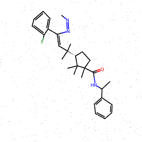 C/N=N\C(=C/C(C)(C)[C@@H]1CCC(C)(C(=O)NC(C)c2ccccc2)C1(C)C)c1ccccc1F